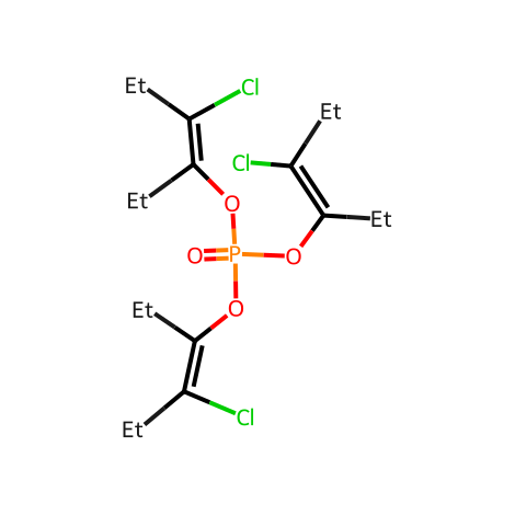 CC/C(Cl)=C(\CC)OP(=O)(O/C(CC)=C(\Cl)CC)O/C(CC)=C(\Cl)CC